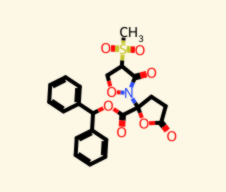 CS(=O)(=O)C1CON(C2(C(=O)OC(c3ccccc3)c3ccccc3)CCC(=O)O2)C1=O